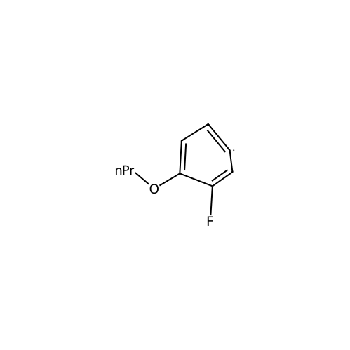 CCCOc1cc[c]cc1F